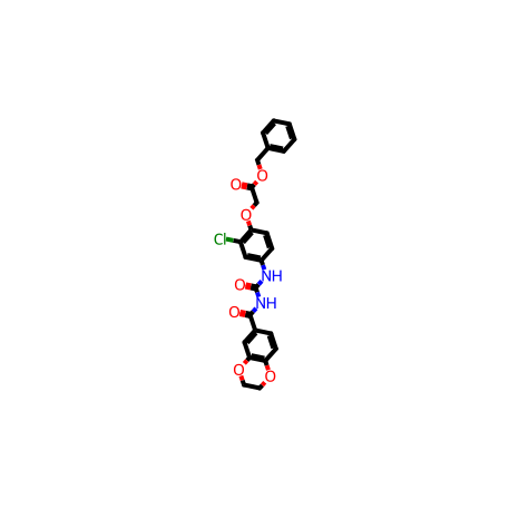 O=C(NC(=O)c1ccc2c(c1)OCCO2)Nc1ccc(OCC(=O)OCc2ccccc2)c(Cl)c1